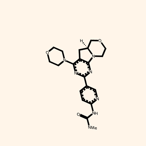 CNC(=O)Nc1ccc(-c2nc(N3CCOCC3)c3c(n2)N2CCOC[C@@H]2C3)cn1